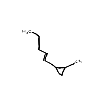 CCCC=CC1CC1C